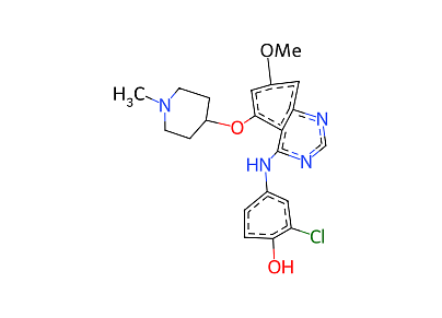 COc1cc(OC2CCN(C)CC2)c2c(Nc3ccc(O)c(Cl)c3)ncnc2c1